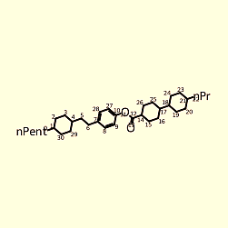 CCCCCC1CCC(CCc2ccc(OC(=O)C3CCC(C4CCC(CCC)CC4)CC3)cc2)CC1